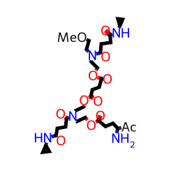 COCCN(CCOC(=O)CCC(=O)OCCN(CCOC(=O)CCC(N)C(C)=O)C(=O)CCC(=O)NC1CC1)C(=O)CCC(=O)NC1CC1